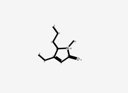 CCCC1C(CC)=CC(=O)N1C